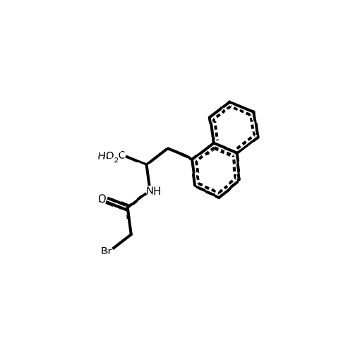 O=C(CBr)NC(Cc1cccc2ccccc12)C(=O)O